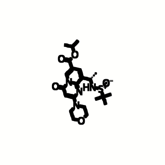 CC(C)OC(=O)c1cc([C@H](C)N[S@+]([O-])C(C)(C)C)c2nc(N3CCOCC3)cc(=O)n2c1